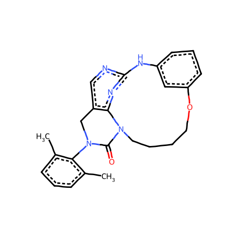 Cc1cccc(C)c1N1Cc2cnc3nc2N(CCCCOc2cccc(c2)N3)C1=O